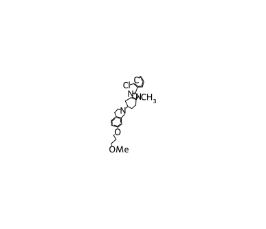 COCCCOc1ccc2c(c1)CN(C1CCc3c(nc(-c4ccccc4Cl)n3C)C1)CC2